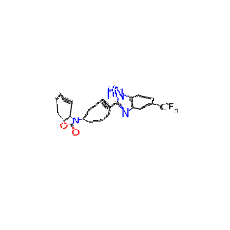 O=c1oc2c(n1-c1ccc(-c3nc4cc(C(F)(F)F)ccc4[nH]3)cc1)C=CCC2